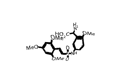 COc1cc(OC)c(/C=C/S(=O)(=O)Nc2ccc(OC)c(C(N)C(=O)O)c2)c(OC)c1